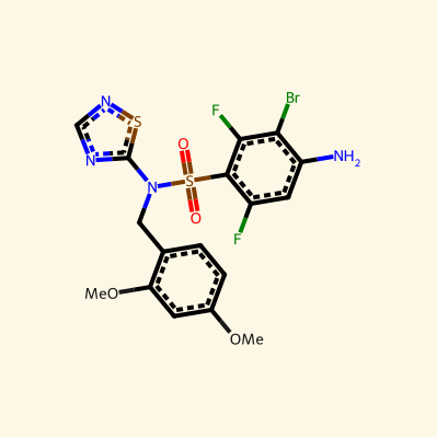 COc1ccc(CN(c2ncns2)S(=O)(=O)c2c(F)cc(N)c(Br)c2F)c(OC)c1